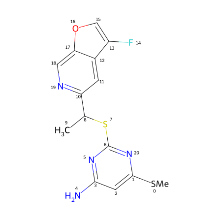 CSc1cc(N)nc(SC(C)c2cc3c(F)coc3cn2)n1